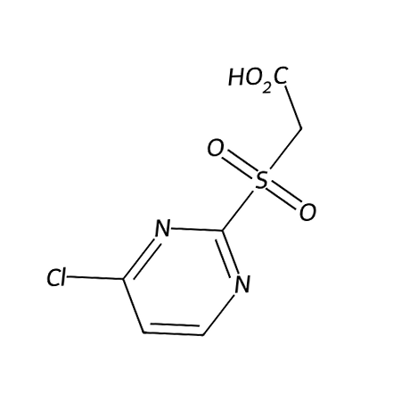 O=C(O)CS(=O)(=O)c1nccc(Cl)n1